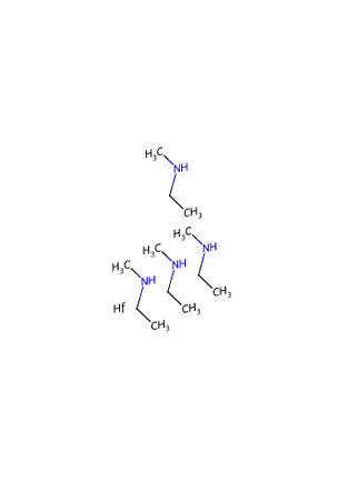 CCNC.CCNC.CCNC.CCNC.[Hf]